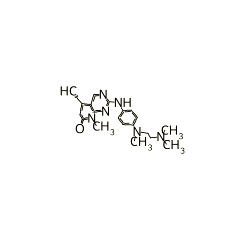 C#Cc1cc(=O)n(C)c2nc(Nc3ccc(N(C)CCN(C)C)cc3)ncc12